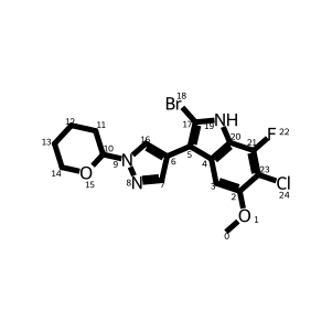 COc1cc2c(-c3cnn(C4CCCCO4)c3)c(Br)[nH]c2c(F)c1Cl